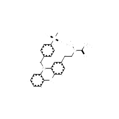 CS(=O)(=O)c1ccc(CN2c3ccccc3Sc3ccc(CCN(O)C(N)=O)cc32)cc1